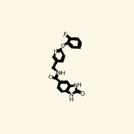 O=C(NCc1ccc(Oc2ccccc2F)nc1)c1ccc2[nH]c(=O)[nH]c2c1